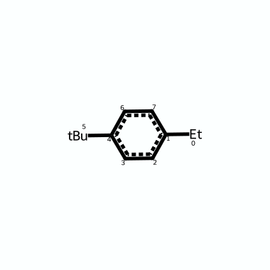 CCc1ccc(C(C)(C)C)cc1